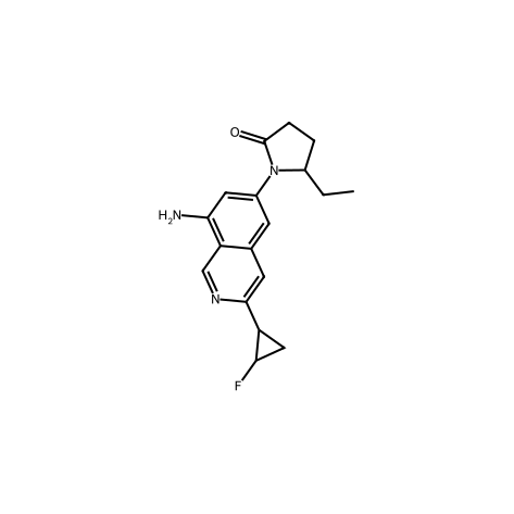 CCC1CCC(=O)N1c1cc(N)c2cnc(C3CC3F)cc2c1